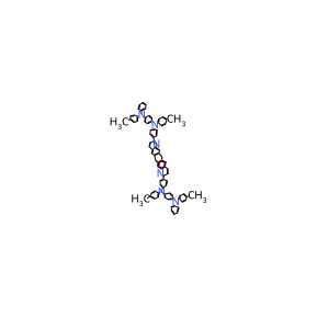 Cc1ccc(N(c2ccccc2)c2ccc(N(c3ccc(C)cc3)c3ccc(-c4ccc5cc6c(cc5n4)C4c5ccccc5C6c5cc6nc(-c7ccc(N(c8ccc(C)cc8)c8ccc(N(c9ccccc9)c9ccc(C)cc9)cc8)cc7)ccc6cc54)cc3)cc2)cc1